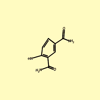 [NH]c1ccc(C(N)=O)cc1C(N)=O